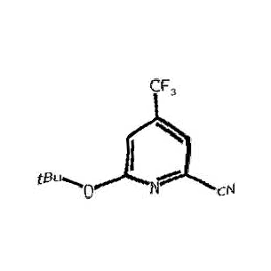 CC(C)(C)Oc1cc(C(F)(F)F)cc(C#N)n1